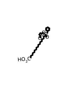 O=C(O)CCCCCCCCCCCCCCCC(C(=O)OCc1ccccc1)N1C(=O)CCC1=O